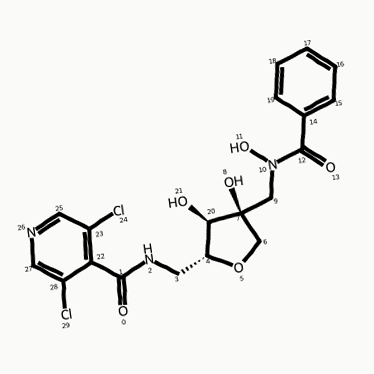 O=C(NC[C@H]1OC[C@@](O)(CN(O)C(=O)c2ccccc2)[C@@H]1O)c1c(Cl)cncc1Cl